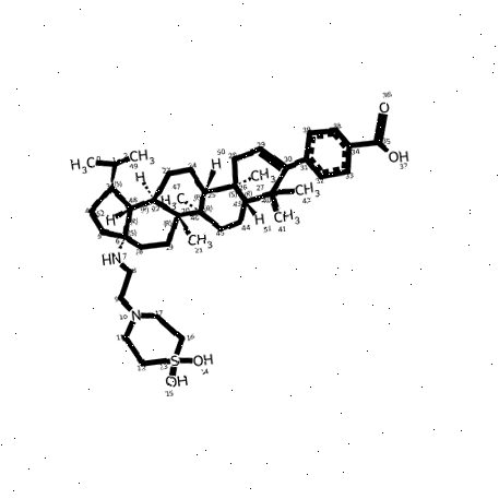 CC(C)[C@@H]1CC[C@]2(NCCN3CCS(O)(O)CC3)CC[C@]3(C)[C@H](CC[C@@H]4[C@@]5(C)CC=C(c6ccc(C(=O)O)cc6)C(C)(C)[C@@H]5CC[C@]43C)[C@@H]12